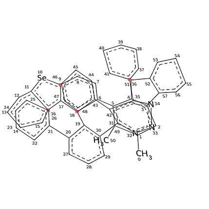 Cc1cc2c(c(-c3ccc4[se]c5ccccc5c4c3-c3c(-c4ccccc4)cccc3-c3nnnc(-c4ccccc4)c3-c3ccccc3)c1C)Cc1ccccc1-2